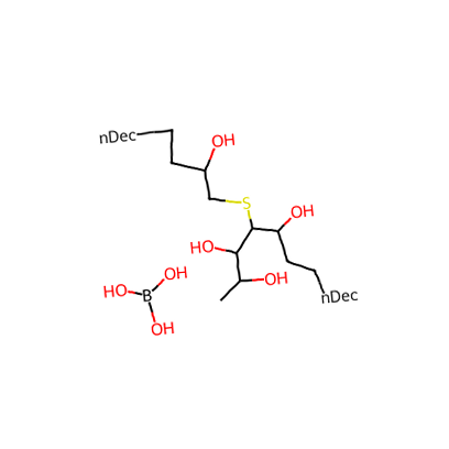 CCCCCCCCCCCCC(O)CSC(C(O)CCCCCCCCCCCC)C(O)C(C)O.OB(O)O